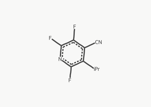 CC(C)c1c(F)nc(F)c(F)c1C#N